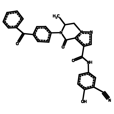 CC1Cn2ncc(C(=O)Nc3ccc(O)c(C#N)c3)c2C(=O)N1c1ccc(C(=O)c2ccccc2)cc1